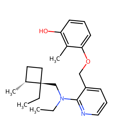 CCN(C[C@]1(CC)CC[C@H]1C)c1ncccc1COc1cccc(O)c1C